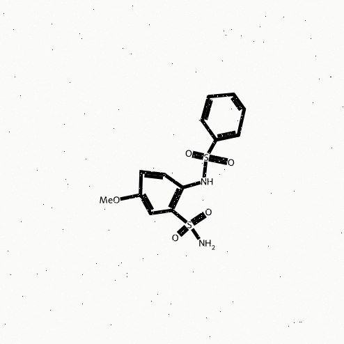 COc1ccc(NS(=O)(=O)c2[c]cccc2)c(S(N)(=O)=O)c1